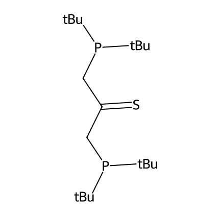 CC(C)(C)P(CC(=S)CP(C(C)(C)C)C(C)(C)C)C(C)(C)C